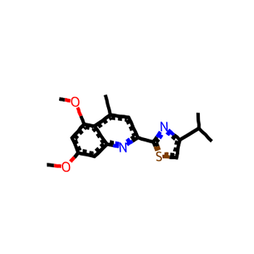 COc1cc(OC)c2c(C)cc(-c3nc(C(C)C)cs3)nc2c1